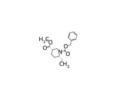 CC[C@@H]1CC[C@H](C(=O)OC)CN1C(=O)OCc1ccccc1